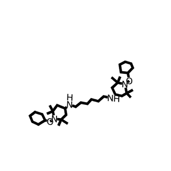 CC1(C)CC(NCCCCCCNC2CC(C)(C)N(OC3CCCCC3)C(C)(C)C2)CC(C)(C)N1OC1CCCCC1